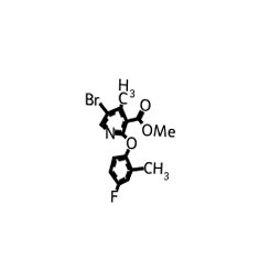 COC(=O)c1c(Oc2ccc(F)cc2C)ncc(Br)c1C